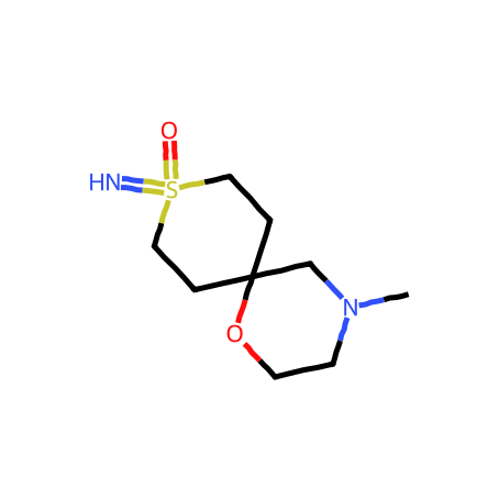 CN1CCOC2(CCS(=N)(=O)CC2)C1